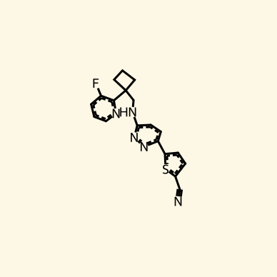 N#Cc1ccc(-c2ccc(NCC3(c4ncccc4F)CCC3)nn2)s1